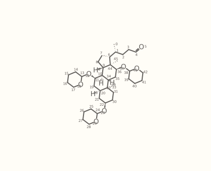 C[C@H](CCC=O)[C@H]1CC[C@H]2[C@@H]3[C@H](OC4CCCCO4)C[C@@H]4C[C@H](OC5CCCCO5)CC[C@]4(C)[C@H]3C[C@H](OC3CCCCO3)[C@]12C